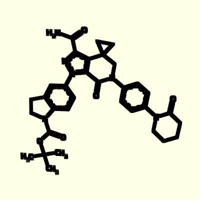 CC(C)(C)OC(=O)N1CCc2cc(-n3nc(C(N)=O)c4c3C(=O)N(c3ccc(N5CCCCC5=O)cc3)CC43CC3)ccc21